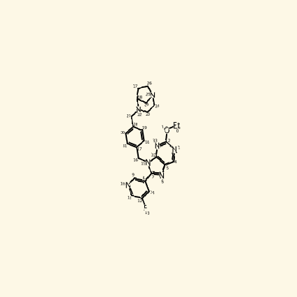 CCOc1ncc2nc(-c3cncc(F)c3)n(Cc3ccc(CN4CCN5CCC4C5)cc3)c2n1